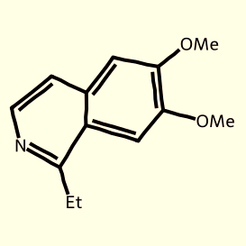 CCc1nccc2cc(OC)c(OC)cc12